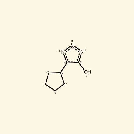 Oc1nsnc1C1CCCC1